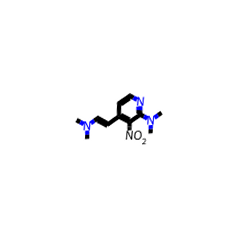 CN(C)/C=C/c1ccnc(N(C)C)c1[N+](=O)[O-]